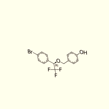 Oc1ccc(CO[C@H](c2ccc(Br)cc2)C(F)(F)F)cc1